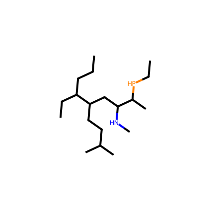 CCCC(CC)C(CCC(C)C)CC(NC)C(C)PCC